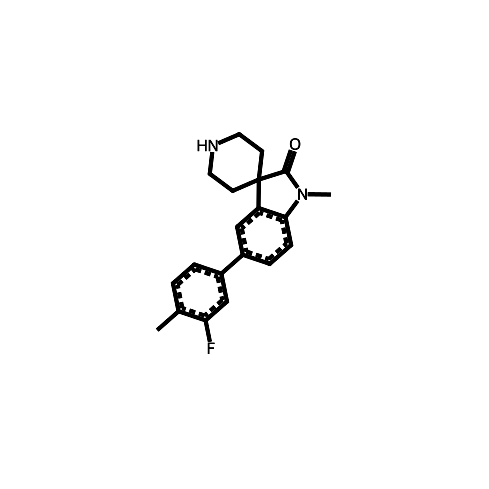 Cc1ccc(-c2ccc3c(c2)C2(CCNCC2)C(=O)N3C)cc1F